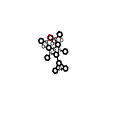 c1ccc(N2c3cc(-c4cc5c6ccccc6n6c7ccccc7c(c4)c56)cc4c3B(c3c2cc2c5c3Oc3ccccc3B5c3ccccc3O2)c2c(cc3c5c2Oc2ccccc2B5c2ccccc2O3)N4c2ccccc2)cc1